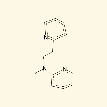 CN(CCc1ccccn1)c1ccccn1